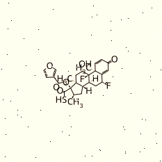 C[C@@H]1C[C@H]2[C@@H]3C[C@H](F)C4=CC(=O)C=C[C@]4(C)[C@@]3(F)[C@@H](O)C[C@]2(C)[C@@]1(OC(=O)c1ccoc1)C(=O)S